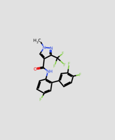 Cn1cc(C(=O)Nc2ccc(F)cc2-c2ccc(F)c(F)c2)c(C(F)(F)F)n1